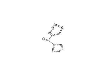 O=C(c1ccccc1)c1cn[c]cn1